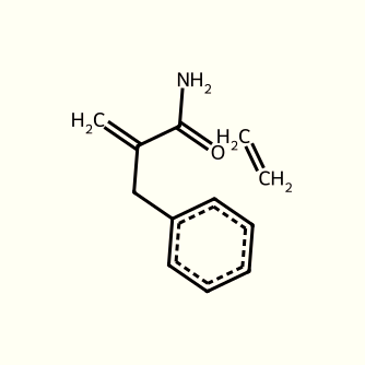 C=C.C=C(Cc1ccccc1)C(N)=O